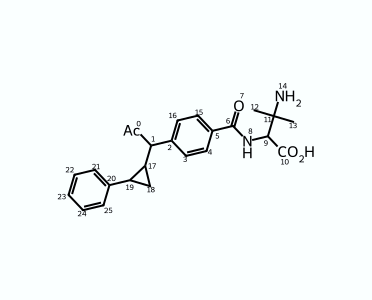 CC(=O)C(c1ccc(C(=O)NC(C(=O)O)C(C)(C)N)cc1)C1CC1c1ccccc1